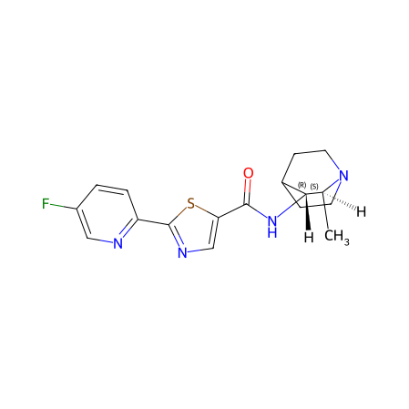 C[C@H]1[C@H](NC(=O)c2cnc(-c3ccc(F)cn3)s2)C2CCN1CC2